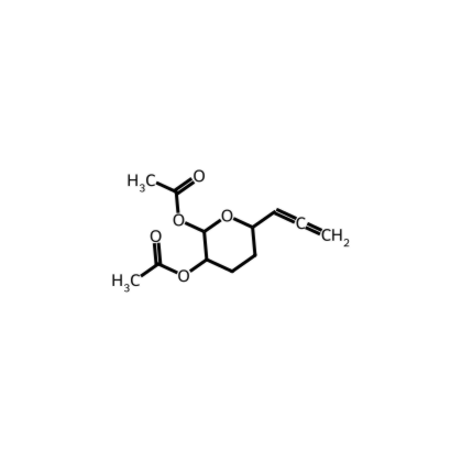 C=C=CC1CCC(OC(C)=O)C(OC(C)=O)O1